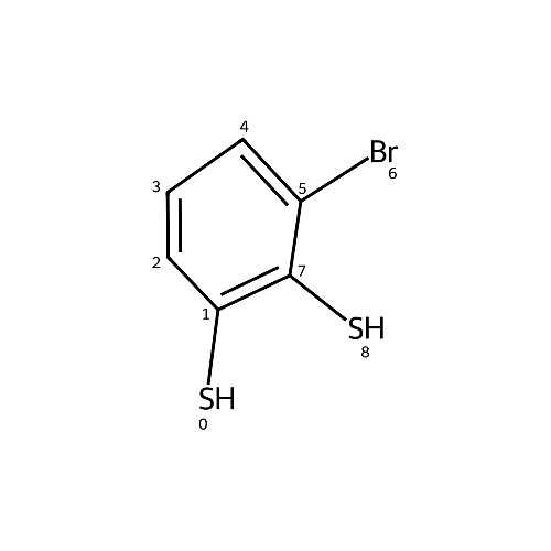 Sc1cccc(Br)c1S